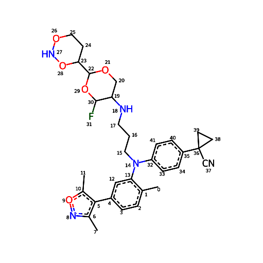 Cc1ccc(-c2c(C)noc2C)cc1N(CCCNC1COC(C2CCONO2)OC1F)c1ccc(C2(C#N)CC2)cc1